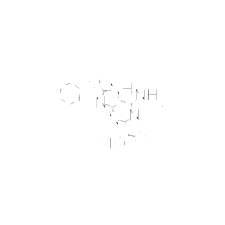 Nc1nc(C(=O)O)nc2c1[nH]c(=O)n2Cc1ccccc1